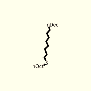 CCCCCCCCCCCCCCCCC[CH]SCCCCCCCC